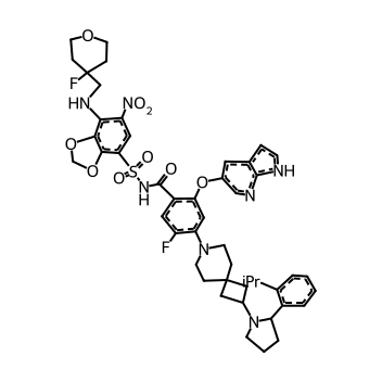 CC(C)c1ccccc1C1CCCN1C1CC2(CCN(c3cc(Oc4cnc5[nH]ccc5c4)c(C(=O)NS(=O)(=O)c4cc([N+](=O)[O-])c(NCC5(F)CCOCC5)c5c4OCO5)cc3F)CC2)C1